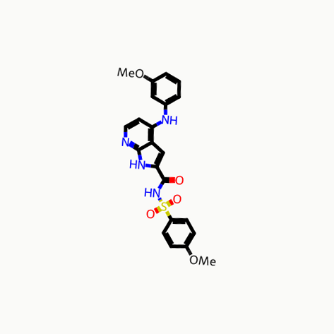 COc1ccc(S(=O)(=O)NC(=O)c2cc3c(Nc4cccc(OC)c4)ccnc3[nH]2)cc1